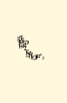 O=C(NCCCCN1CCN(c2cccc(C(F)(F)F)c2)CC1)C1=Cc2ccccc2SC1